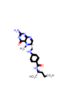 CN1C2C(=O)N=C(N)N=C2N=C[C@@H]1CNc1ccc(C(=O)N[C@H](CCC(=O)O)C(=O)O)cc1